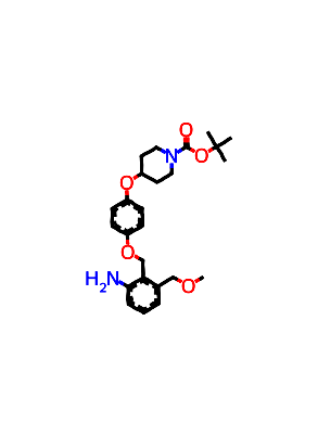 COCc1cccc(N)c1COc1ccc(OC2CCN(C(=O)OC(C)(C)C)CC2)cc1